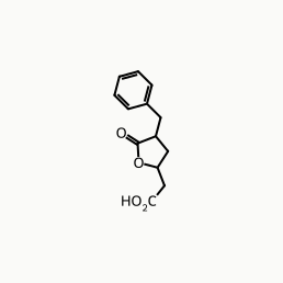 O=C(O)CC1CC(Cc2ccccc2)C(=O)O1